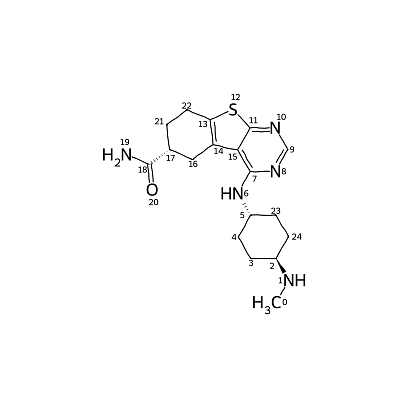 CN[C@H]1CC[C@H](Nc2ncnc3sc4c(c23)C[C@H](C(N)=O)CC4)CC1